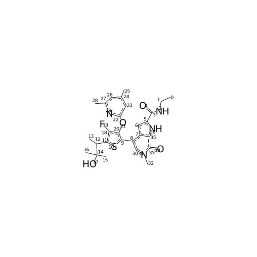 CCNC(=O)c1cc2c(-c3sc(C(C)C(C)(C)O)c(F)c3Oc3cc(C)cc(C)n3)cn(C)c(=O)c2[nH]1